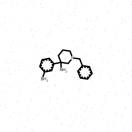 Bc1cccc(C2(N)CCCN(Cc3ccccc3)C2)c1